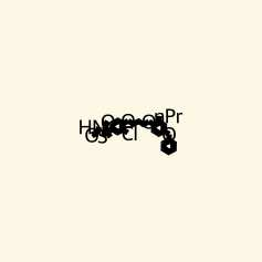 CCCc1cc(Oc2ccccc2)ccc1OCCCOc1ccc(C2(C)SC(=O)NC2=O)cc1Cl